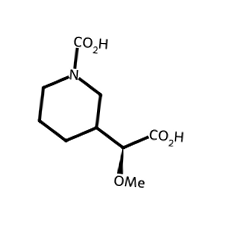 CO[C@H](C(=O)O)C1CCCN(C(=O)O)C1